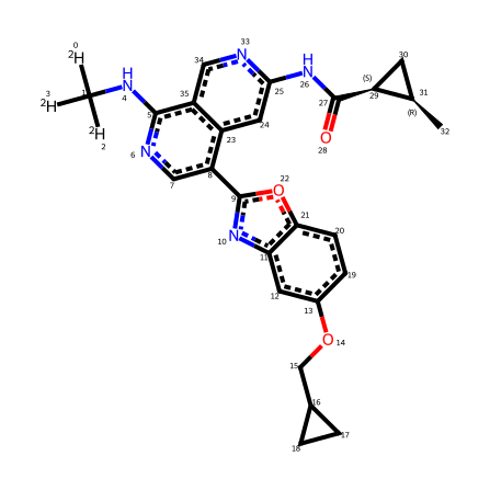 [2H]C([2H])([2H])Nc1ncc(-c2nc3cc(OCC4CC4)ccc3o2)c2cc(NC(=O)[C@H]3C[C@H]3C)ncc12